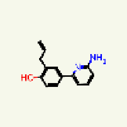 C=CCc1cc(-c2cccc(N)n2)ccc1O